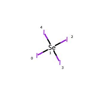 I[Se](I)(I)I